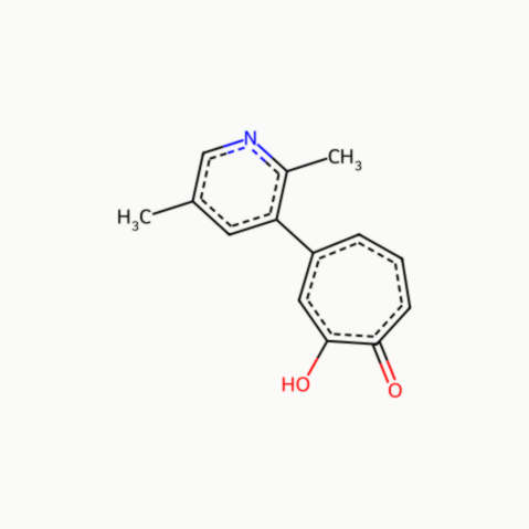 Cc1cnc(C)c(-c2cccc(=O)c(O)c2)c1